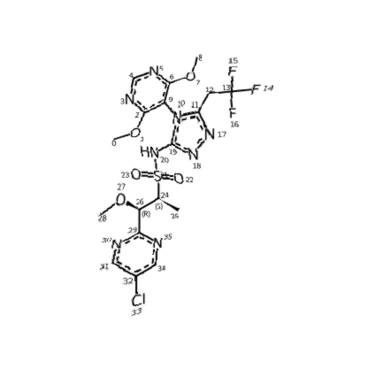 COc1ncnc(OC)c1-n1c(CC(F)(F)F)nnc1NS(=O)(=O)[C@@H](C)[C@H](OC)c1ncc(Cl)cn1